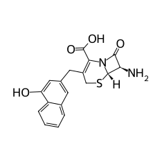 N[C@@H]1C(=O)N2C(C(=O)O)=C(Cc3cc(O)c4ccccc4c3)CS[C@@H]12